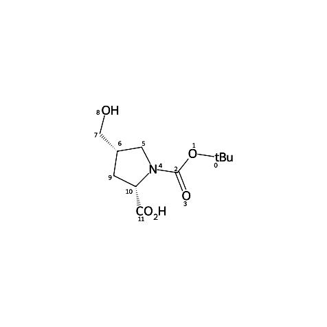 CC(C)(C)OC(=O)N1C[C@@H](CO)C[C@H]1C(=O)O